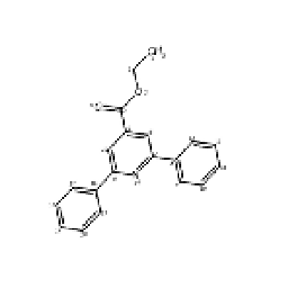 CCOC(=O)c1cc(-c2ccccc2)nc(-c2ccccc2)c1